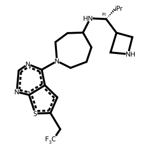 CC(C)[C@@H](NC1CCCN(c2ncnc3sc(CC(F)(F)F)cc23)CC1)C1CNC1